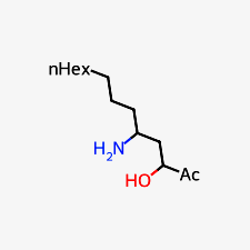 CCCCCCCCCC(N)CC(O)C(C)=O